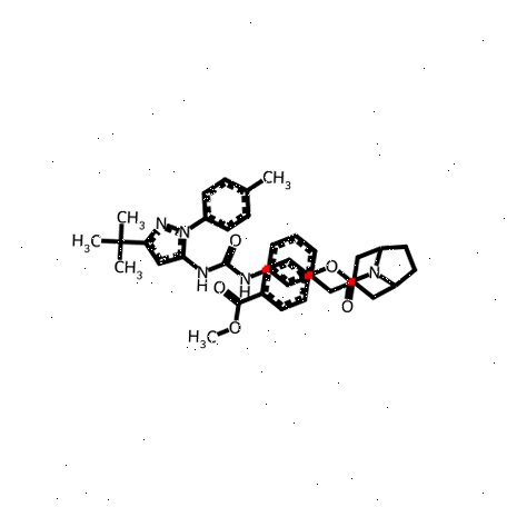 COC(=O)c1ccc(OC(=O)N2C3CCC2CC(Cc2cccc(NC(=O)Nc4cc(C(C)(C)C)nn4-c4ccc(C)cc4)c2)C3)cc1